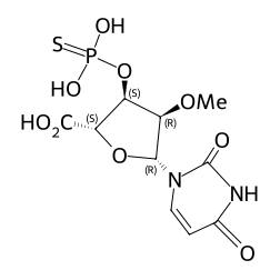 CO[C@@H]1[C@H](OP(O)(O)=S)[C@@H](C(=O)O)O[C@H]1n1ccc(=O)[nH]c1=O